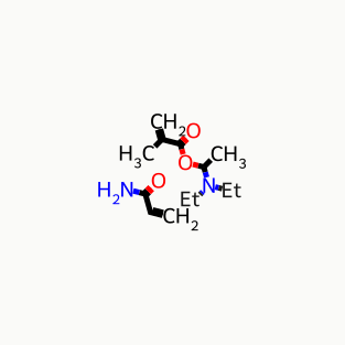 C=C(C)C(=O)OC(C)N(CC)CC.C=CC(N)=O